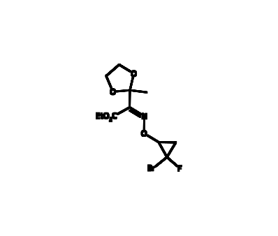 CCOC(=O)/C(=N\OC1CC1(F)Br)C1(C)OCCO1